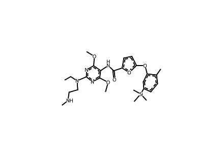 CCN(CCNC)c1nc(OC)c(NC(=O)c2ccc(Oc3cc([Si](C)(C)C)ccc3C)o2)c(OC)n1